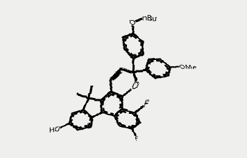 CCCCOc1ccc(C2(c3ccc(OC)cc3)C=Cc3c4c(c5cc(F)cc(F)c5c3O2)-c2ccc(O)cc2C4(C)C)cc1